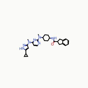 CN(c1cc(C2CC2)[nH]n1)c1ccnc(N(C)C2CCC(NC(=O)C3Cc4ccccc4C3)CC2)n1